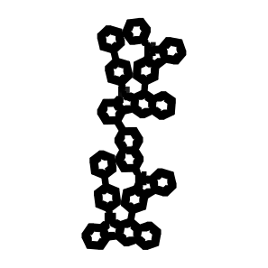 c1ccc(-c2ccc(-n3c4ccccc4c4cc5ccccc5c(-c5ccc6c(c5)c5ccccc5n6-c5ccc6cc(-c7cccc8c7c7cc9ccccc9c(-c9ccc%10c(c9)c9ccccc9n%10-c9ccccc9)c7n8-c7ccc(-c8ccccc8)cc7)ccc6c5)c43)cc2)cc1